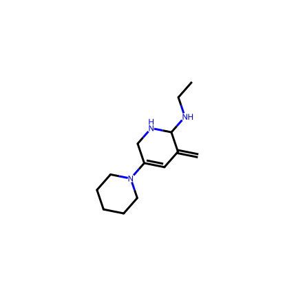 C=C1C=C(N2CCCCC2)CNC1NCC